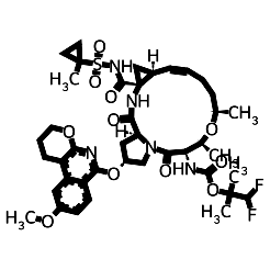 COc1ccc2c(O[C@@H]3C[C@H]4C(=O)N[C@]5(C(=O)NS(=O)(=O)C6(C)CC6)C[C@H]5C=CCC[C@@H](C)O[C@@H](C)[C@H](NC(=O)OC(C)(C)C(F)F)C(=O)N4C3)nc3c(c2c1)CCCO3